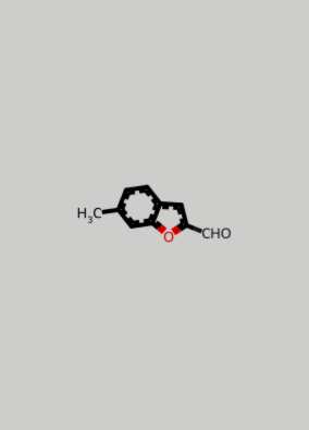 Cc1ccc2cc(C=O)oc2c1